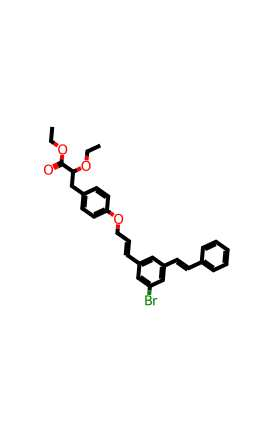 CCOC(=O)C(Cc1ccc(OCC=Cc2cc(Br)cc(C=Cc3ccccc3)c2)cc1)OCC